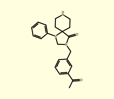 CC(=O)c1cccc(CN2CN(c3ccccc3)C3(CCNCC3)C2=O)c1